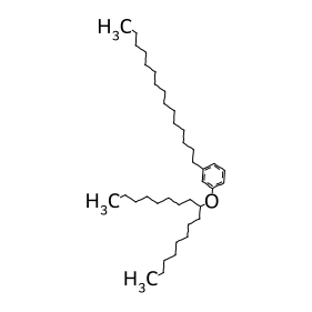 CCCCCCCCCCCCCCCc1cccc(OC(CCCCCCCC)CCCCCCCC)c1